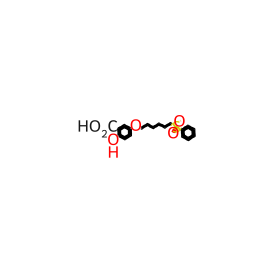 O=C(O)c1cc(OCCCCCCS(=O)(=O)c2ccccc2)ccc1O